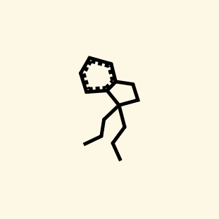 CCCC1(CCC)CCc2ccccc21